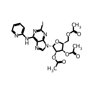 CC(=O)OC[C@@H]1O[C@@H](n2cnc3c(Nc4ccccn4)nc(I)nc32)[C@H](OC(C)=O)[C@@H]1OC(C)=O